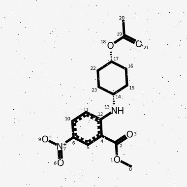 COC(=O)c1cc([N+](=O)[O-])ccc1N[C@H]1CC[C@@H](OC(C)=O)CC1